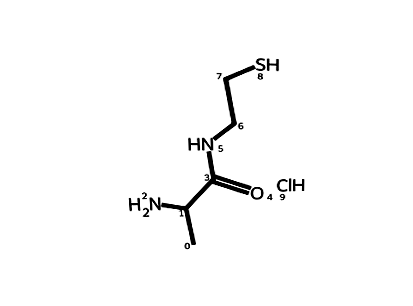 CC(N)C(=O)NCCS.Cl